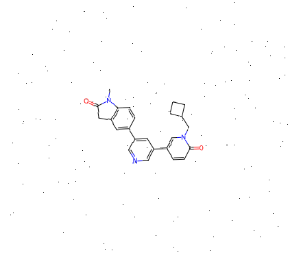 CN1C(=O)Cc2cc(-c3cncc(-c4ccc(=O)n(CC5CCC5)c4)c3)ccc21